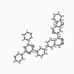 c1ccc(-c2nc(-c3ccccc3)nc(-c3cccc(-c4ccc5c(-c6cc7oc8ccccc8c7cn6)nncc5c4)c3)n2)cc1